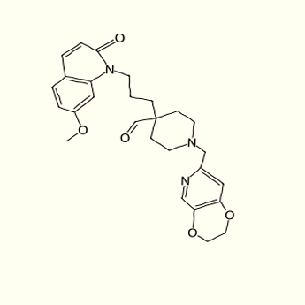 COc1ccc2ccc(=O)n(CCCC3(C=O)CCN(Cc4cc5c(cn4)OCCO5)CC3)c2c1